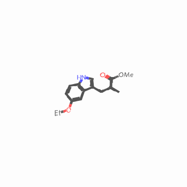 CCOc1ccc2[nH]cc(CC(C)C(=O)OC)c2c1